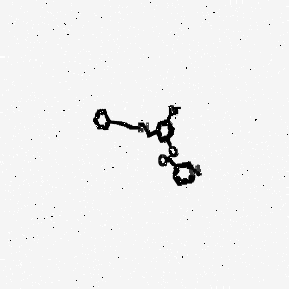 O=C(Oc1cc(Br)cc(C=NCCc2ccccc2)c1)c1cccnc1